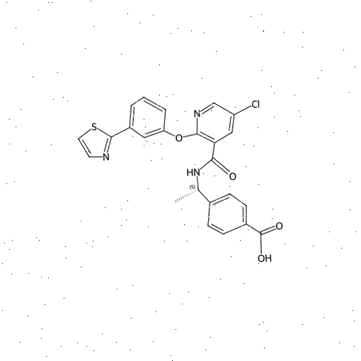 C[C@H](NC(=O)c1cc(Cl)cnc1Oc1cccc(-c2nccs2)c1)c1ccc(C(=O)O)cc1